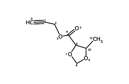 C#CCOC(=O)C1OCOC1C